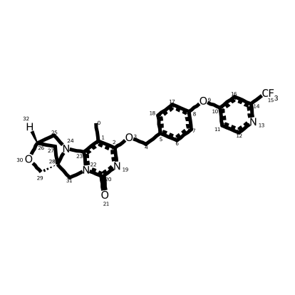 Cc1c(OCc2ccc(Oc3ccnc(C(F)(F)F)c3)cc2)nc(=O)n2c1N1C[C@@H]3C[C@]1(CO3)C2